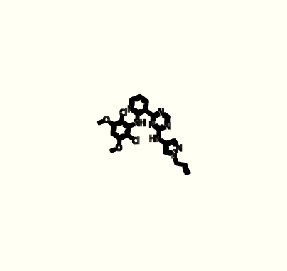 C=CCn1cc(Nc2ncnc(-c3cccnc3Nc3c(Cl)c(OC)cc(OC)c3Cl)n2)cn1